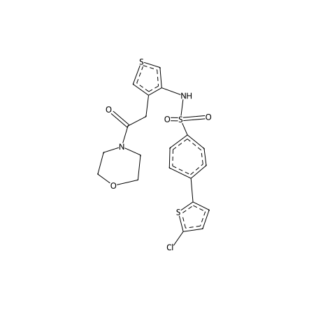 O=C(Cc1cscc1NS(=O)(=O)c1ccc(-c2ccc(Cl)s2)cc1)N1CCOCC1